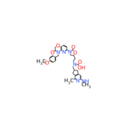 CNc1cc2c(c(C)n1)CC(CN(CCC1CN(c3ccc4c(n3)N(Cc3ccc(OC)cc3)C(=O)CO4)C(=O)O1)C(=O)O)C2